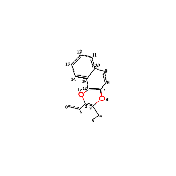 C=CC1=C(CC)Oc2ccc3ccccc3c2O1